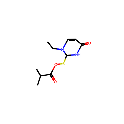 CCN1C=CC(=O)NC1SOC(=O)C(C)C